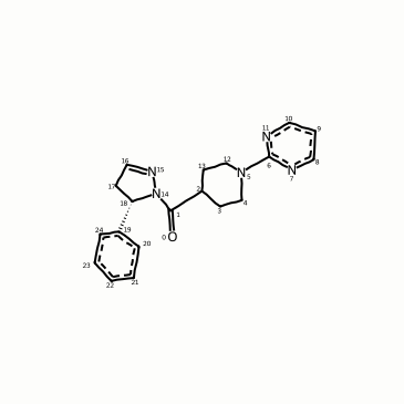 O=C(C1CCN(c2ncccn2)CC1)N1N=CC[C@H]1c1ccccc1